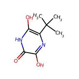 CC(C)(C)c1nc(O)c(=O)[nH]c1O